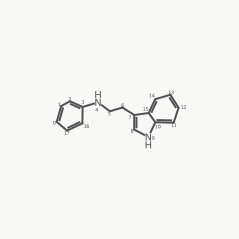 c1ccc(NCCc2c[nH]c3ccccc23)cc1